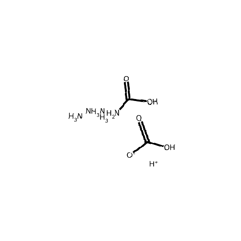 N.N.N.NC(=O)O.O=C([O-])O.[H+]